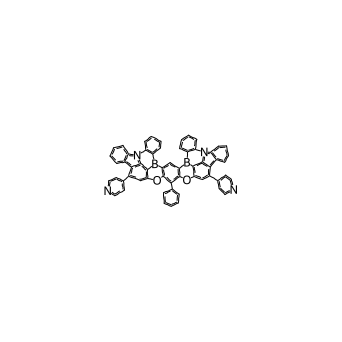 c1ccc(-c2c3c(cc4c2Oc2cc(-c5ccncc5)c5c6ccccc6n6c5c2B4c2ccccc2-6)B2c4ccccc4-n4c5ccccc5c5c(-c6ccncc6)cc(c2c54)O3)cc1